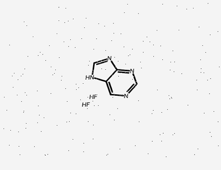 F.F.c1ncc2[nH]cnc2n1